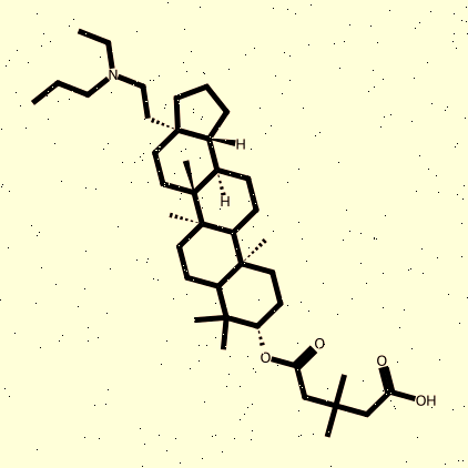 CCCN(CC)CC[C@]12CCC[C@@H]1[C@H]1CCC3[C@@]4(C)CC[C@H](OC(=O)CC(C)(C)CC(=O)O)C(C)(C)C4CC[C@@]3(C)[C@]1(C)CC2